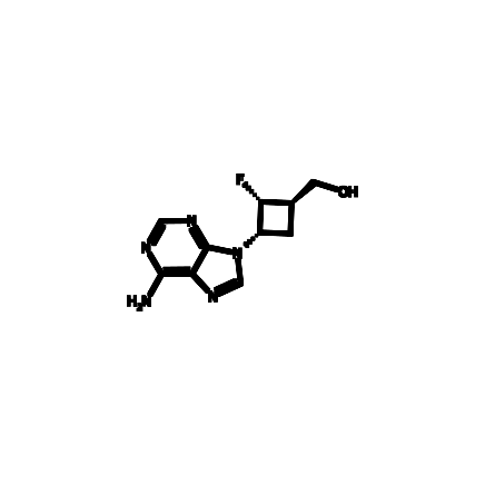 Nc1ncnc2c1ncn2[C@H]1C[C@H](CO)[C@H]1F